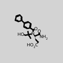 CC(C)(CO)N(C(=O)c1ccc(-c2ccccc2)cc1)[C@@H](CCC(=O)O)C(N)=O